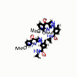 COc1ccc(C(=O)c2cnn(-c3cc(C(=O)NC4CC4)ccc3C)c2N)cc1.COc1ccc(C(=O)c2cnn(-c3cc(C(=O)NC4CC4)ccc3C)c2N)cc1OC